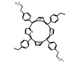 CCOc1ccc(-c2c3nc(c(-c4ccc(CI)cc4)c4ccc([nH]4)c(-c4ccc(OCC)cc4)c4nc(c(-c5ccc(CI)cc5)c5ccc2[nH]5)C=C4)C=C3)cc1